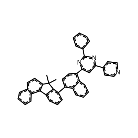 CC1(C)c2ccc3ccccc3c2-c2cccc(-c3ccc(-c4cc(-c5ccncc5)nc(-c5ccccc5)n4)c4ccccc34)c21